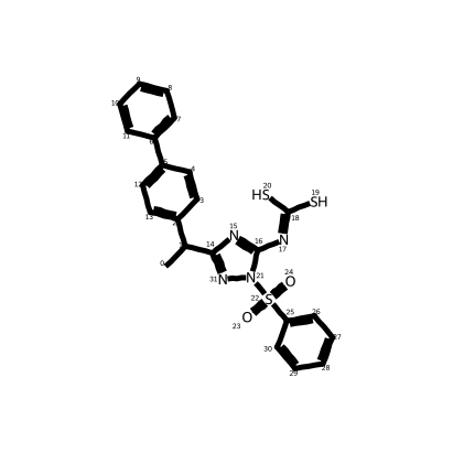 CC(c1ccc(-c2ccccc2)cc1)c1nc(N=C(S)S)n(S(=O)(=O)c2ccccc2)n1